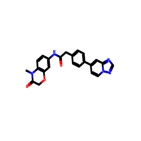 CN1C(=O)COc2cc(NC(=O)Cc3ccc(-c4ccn5ncnc5c4)cc3)ccc21